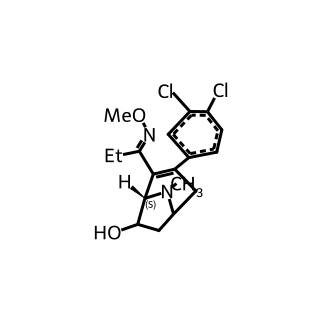 CCC(=NOC)C1=C(c2ccc(Cl)c(Cl)c2)CC2CC(O)[C@H]1N2C